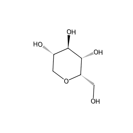 OC[C@@H]1OC[C@H](O)[C@@H](O)[C@@H]1O